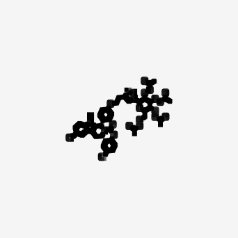 CC(=O)OOCC1OC(n2cc(CCOc3ccc([C@H]4c5[nH]c6ccc(Cl)cc6c5CCN4C(=O)Oc4ccc(Cl)cc4)cc3)nn2)C(OOC(C)=O)C(OOC(C)=O)C1OOC(C)=O